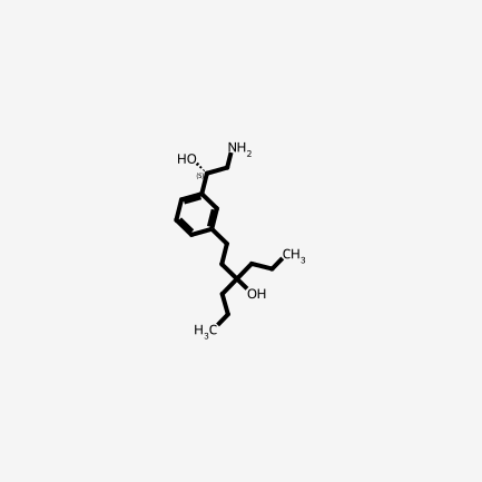 CCCC(O)(CCC)CCc1cccc([C@H](O)CN)c1